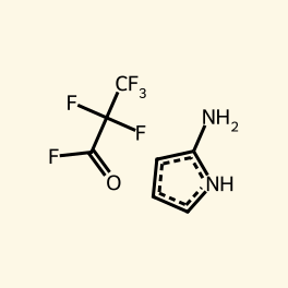 Nc1ccc[nH]1.O=C(F)C(F)(F)C(F)(F)F